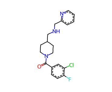 O=C(c1ccc(F)c(Cl)c1)N1CCC(CNCc2ccccn2)CC1